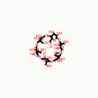 OCC1OC2OC3C(CO)OC(OC4C(CO)OC(OC5C(O)C(O)C(OC6C(CO)OC(OC7C(CO)OC(OC1C(O)C2O)C(O)C7O)C(O)C6O)O[C@H]5CO)C(O)C4O)C(O)C3O